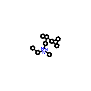 c1ccc(-c2cccc(-c3nc(-c4ccccc4)nc(-c4ccc(-c5c(-c6ccc7c8ccccc8c8ccccc8c7c6)ccc6ccccc56)cc4)n3)c2)cc1